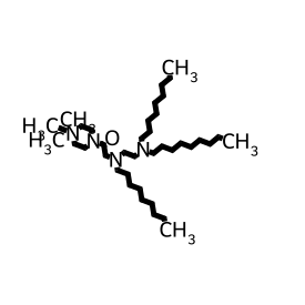 CCCCCCCCCN(CCCCCCCCC)CCN(CCCCCCCCC)CC(=O)N1CCN(C(C)(C)C)CC1